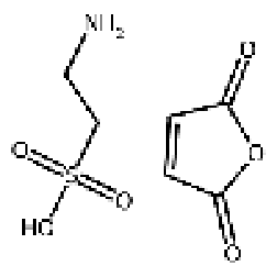 NCCS(=O)(=O)O.O=C1C=CC(=O)O1